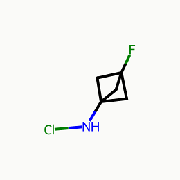 FC12CC(NCl)(C1)C2